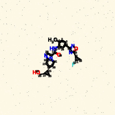 Cc1ccc(-c2noc([C@H]3C[C@@H]3F)n2)cc1NC(=O)c1cnc2cc([C@@H]3C[C@H]3CO)ccn12